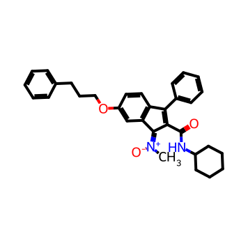 C/[N+]([O-])=C1\C(C(=O)NC2CCCCC2)=C(c2ccccc2)c2ccc(OCCCc3ccccc3)cc21